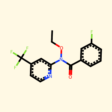 CCON(C(=O)c1cccc(F)c1)c1cc(C(F)(F)F)ccn1